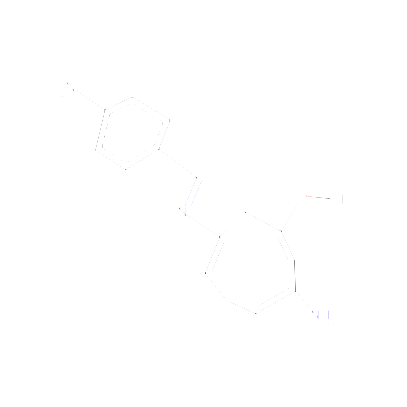 CO/C1=C/C(N)=CC/C=C(/N=C/c2ccc(N)cc2)C1